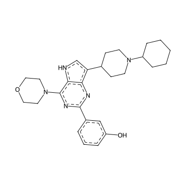 Oc1cccc(-c2nc(N3CCOCC3)c3[nH]cc(C4CCN(C5CCCCC5)CC4)c3n2)c1